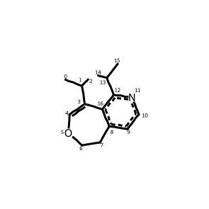 CC(C)C1=COCCc2ccnc(C(C)C)c21